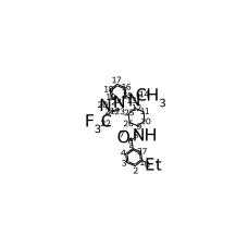 CCc1cccc(C(=O)N[C@H]2CC[C@@H](N(C)c3cccc4nc(C(F)(F)F)cn34)CC2)c1